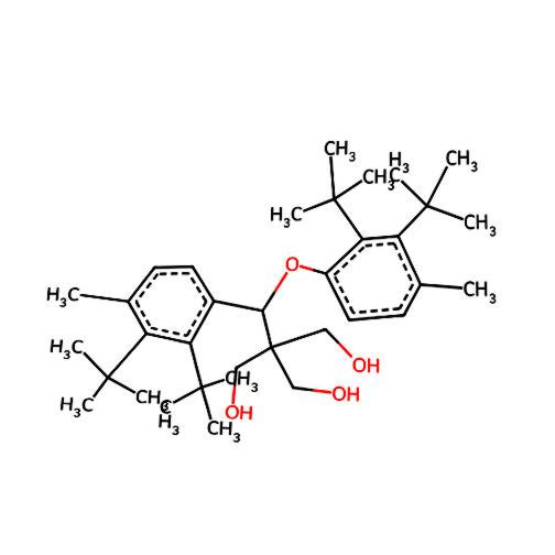 Cc1ccc(OC(c2ccc(C)c(C(C)(C)C)c2C(C)(C)C)C(CO)(CO)CO)c(C(C)(C)C)c1C(C)(C)C